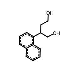 OCCC(CO)c1cccc2ccccc12